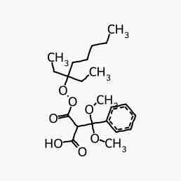 CCCCCC(CC)(CC)OOC(=O)C(C(=O)O)C(OC)(OC)c1ccccc1